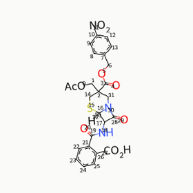 CC(=O)OCC1(C(=O)OCc2ccc([N+](=O)[O-])cc2)CS[C@@H]2C(NC(=O)c3ccccc3C(=O)O)C(=O)N2C1